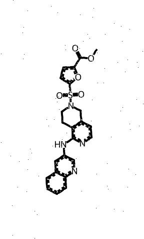 COC(=O)c1ccc(S(=O)(=O)N2CCc3c(ccnc3Nc3cnc4ccccc4c3)C2)o1